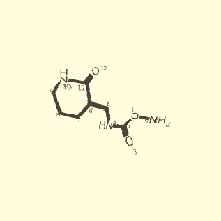 NOC(=O)NCC1CCCNC1=O